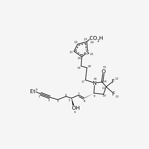 CCC#CCC[C@H](O)C=C[C@H]1CC(F)(F)C(=O)N1CCCc1ccc(C(=O)O)s1